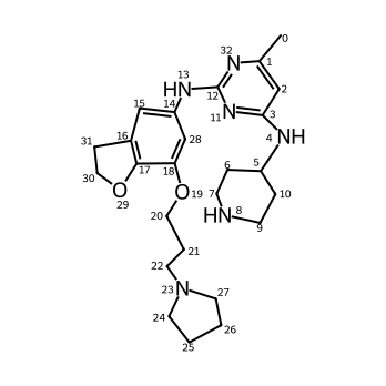 Cc1cc(NC2CCNCC2)nc(Nc2cc3c(c(OCCCN4CCCC4)c2)OCC3)n1